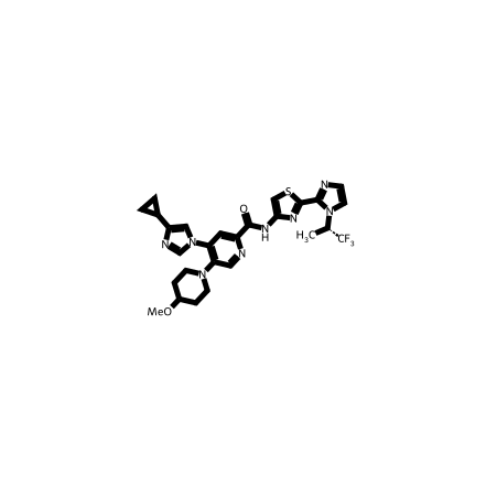 COC1CCN(c2cnc(C(=O)Nc3csc(-c4nccn4[C@@H](C)C(F)(F)F)n3)cc2-n2cnc(C3CC3)c2)CC1